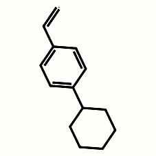 [CH]=Cc1ccc(C2CCCCC2)cc1